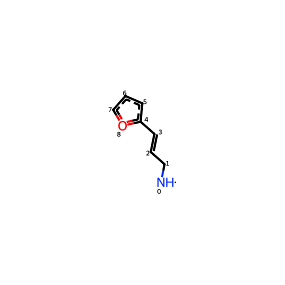 [NH]C/C=C/c1ccco1